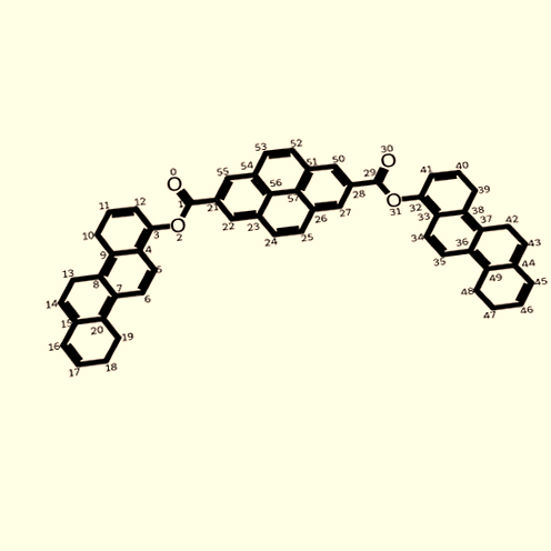 O=C(OC1=c2ccc3c(c2CC=C1)CC=C1C=CCCC=31)c1cc2ccc3cc(C(=O)OC4=c5ccc6c(c5CC=C4)CC=C4C=CCCC=64)cc4ccc(c1)c2c34